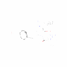 CC[C@H](C)[C@H](N)C(=O)N(C(=O)[C@@H](N)[C@@H](C)CC)[C@@H](Cc1ccc(O)cc1)C(=O)O